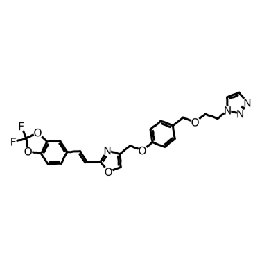 FC1(F)Oc2ccc(/C=C/c3nc(COc4ccc(COCCn5ccnn5)cc4)co3)cc2O1